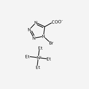 CC[N+](CC)(CC)CC.O=C([O-])c1nnnn1Br